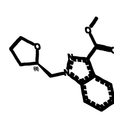 COC(=O)c1nn(C[C@H]2CCCO2)c2ccccc12